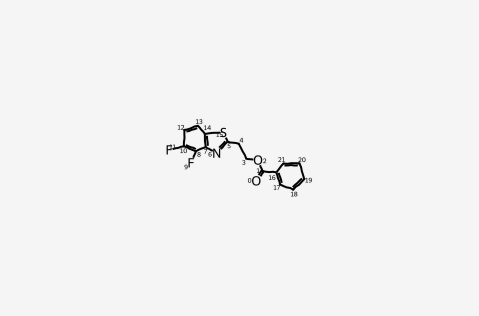 O=C(OCCc1nc2c(F)c(F)ccc2s1)c1ccccc1